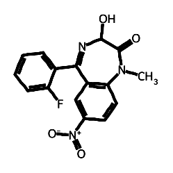 CN1C(=O)C(O)N=C(c2ccccc2F)c2cc([N+](=O)[O-])ccc21